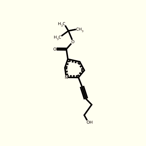 CC(C)(C)OC(=O)c1ccc(C#CCCO)nc1